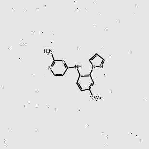 COc1ccc(Nc2ccnc(N)n2)c(-n2cccn2)c1